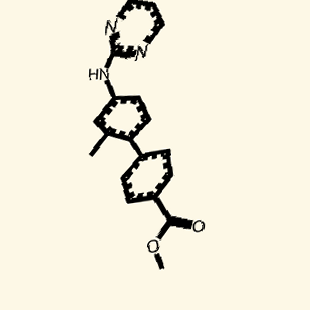 COC(=O)c1ccc(-c2ccc(Nc3ncccn3)cc2C)cc1